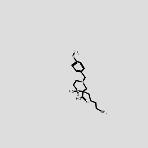 COc1ccc(CN2CCP(=O)(O)C(CCCCN)(C(=O)O)C2)cc1